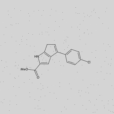 COC(=O)c1cc2c([nH]1)CC=C2c1ccc(Cl)cc1